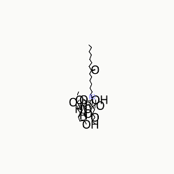 CCCCCCCC(=O)CCCCCC/C=C/[C@H](C(=O)N[C@@H](Cc1ccc(O)cc1)C(=O)OCC)[C@@](O)(CC(=O)OCC)C(=O)O